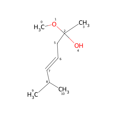 COC(C)(O)CC=CC(C)C